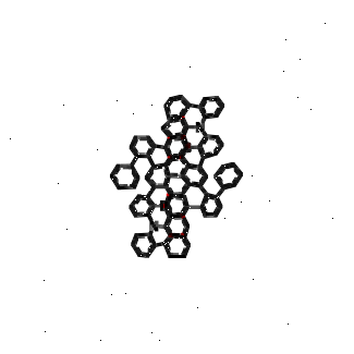 c1ccc(-c2ccccc2N2c3ccccc3B3c4c(cccc42)-c2cc(-c4c(-c5ccccc5)cccc4-c4ccccc4)c4cc5c6c(cc(-c7c(-c8ccccc8)cccc7-c7ccccc7)c7cc3c2c4c76)-c2cccc3c2B5c2ccccc2N3c2ccccc2-c2ccccc2)cc1